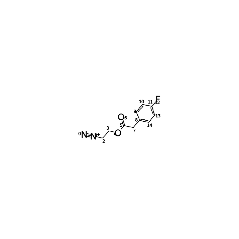 N#[N+]CCOC(=O)Cc1ccc(F)cc1